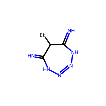 CCC1C(=N)NN=NNC1=N